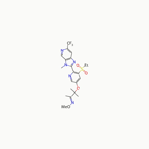 CCS(=O)(=O)c1cc(OC(C)(C)/C(C)=N/OC)cnc1-c1nc2cc(C(F)(F)F)ncc2n1C